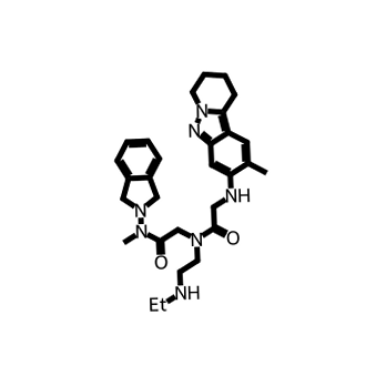 CCNCCN(CC(=O)N(C)N1Cc2ccccc2C1)C(=O)CNc1cc2nn3c(c2cc1C)CCCC3